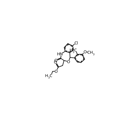 CCOC(=O)CC1OC(c2cccc(OC)c2C)c2cc(Cl)ccc2NC1=O